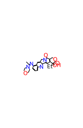 CC[C@@]1(O)C(=O)OCc2c1cc1n(c2=O)Cc2cc3c(N=C(C)N4CCOCC4)cccc3nc2-1